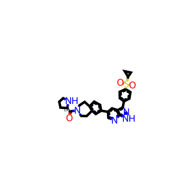 O=C([C@@H]1CCCN1)N1CCc2ccc(-c3cnc4[nH]nc(-c5ccc(S(=O)(=O)C6CC6)cc5)c4c3)cc2CC1